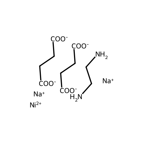 NCCN.O=C([O-])CCC(=O)[O-].O=C([O-])CCC(=O)[O-].[Na+].[Na+].[Ni+2]